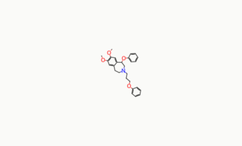 COc1cc2c(cc1OC)C(Oc1ccccc1)CN(CCCOc1ccccc1)CC2